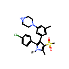 Cc1cc(-c2c(S(C)(=O)=O)c(C)n(C(C)C)c2-c2ccc(Cl)cc2)cc(N2CCNCC2)c1